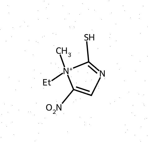 CC[N+]1(C)C([N+](=O)[O-])=CN=C1S